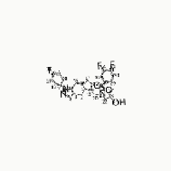 C[C@]12Cc3cnn(-c4ccc(F)cc4)c3C=C1CC[C@@H]2CN(CCO)S(=O)(=O)c1ccc(F)c(F)c1